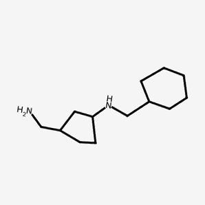 NCC1CCC(NCC2CCCCC2)C1